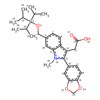 CC(C)[Si](OCc1ccc2c(CC(=O)O)c(-c3ccc4c(c3)OCO4)n(C)c2c1)(C(C)C)C(C)C